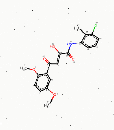 COc1ccc(OC)c(C(=O)/C=C(\O)C(=O)Nc2cccc(Cl)c2C)c1